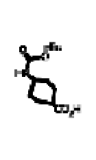 CCCCOC(=O)NC1CCC(C(=O)O)CC1